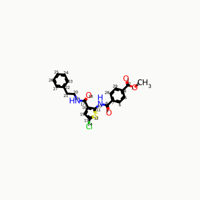 COC(=O)c1ccc(C(=O)Nc2sc(Cl)cc2C(=O)NCCc2ccccc2)cc1